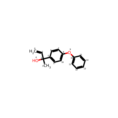 C=CC(C)(O)c1ccc(Oc2ccccc2)cc1